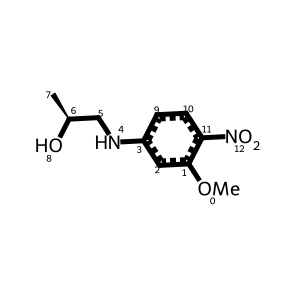 COc1cc(NC[C@H](C)O)ccc1[N+](=O)[O-]